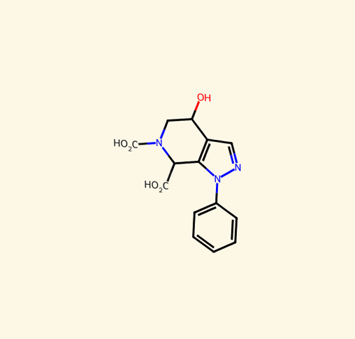 O=C(O)C1c2c(cnn2-c2ccccc2)C(O)CN1C(=O)O